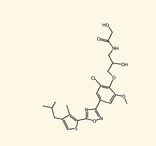 COc1cc(-c2noc(-c3scc(CC(C)C)c3C)n2)cc(Cl)c1OCC(O)CNC(=O)CO